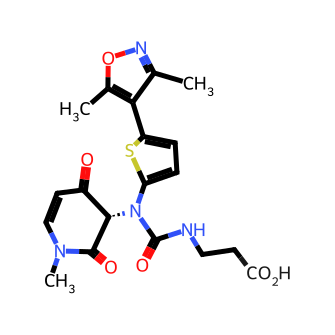 Cc1noc(C)c1-c1ccc(N(C(=O)NCCC(=O)O)[C@H]2C(=O)C=CN(C)C2=O)s1